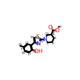 COC(=O)C1CCCN(c2nc(-c3cc(C)ccc3O)cs2)C1